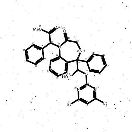 CCc1cc(CC)nc(OC(C(=O)O)C2(c3ccccc3)NCC(=O)N(C(C(=O)OC)c3ccccc3)c3ccccc32)n1